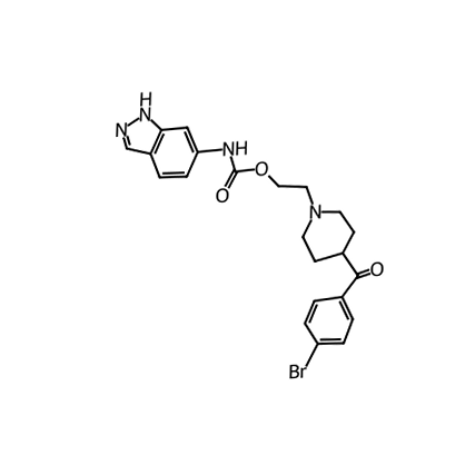 O=C(Nc1ccc2cn[nH]c2c1)OCCN1CCC(C(=O)c2ccc(Br)cc2)CC1